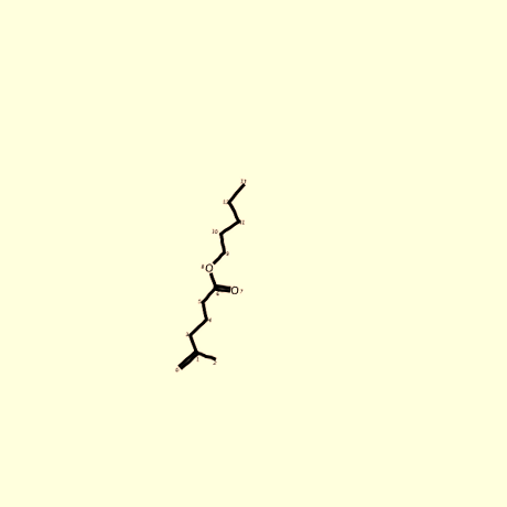 C=C(C)CCCC(=O)OCCCCC